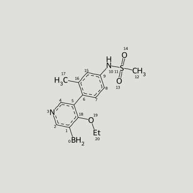 Bc1cncc(-c2ccc(NS(C)(=O)=O)cc2C)c1OCC